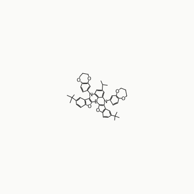 CC(C)c1cc2c3c(c1)N(c1ccc4c(c1)OCCCO4)c1c(oc4ccc(C(C)(C)C)cc14)B3c1oc3ccc(C(C)(C)C)cc3c1N2c1ccc2c(c1)OCCCO2